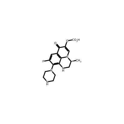 C[C@H]1CNc2c(N3CCNCC3)c(F)cc3c(=O)c(OC(=O)O)cn1c23